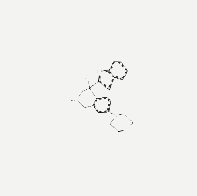 CN1Cc2cc(N3CCOCC3)ccc2C(O)(c2cc3ccccc3o2)C1